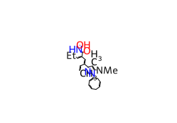 C\C=C/C(=C\C(=C\CC)C(=O)NO)c1nn(/C2=C/C=C\CC=CC2)c(NC)c1C